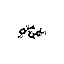 COc1cccc(N(C(=O)C2CC2)c2ccc(C)c(-c3cnc(OC)c(C)c3)n2)c1